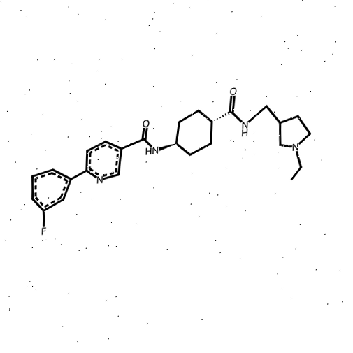 CCN1CCC(CNC(=O)[C@H]2CC[C@H](NC(=O)c3ccc(-c4cccc(F)c4)nc3)CC2)C1